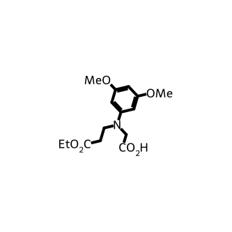 CCOC(=O)CCN(CC(=O)O)c1cc(OC)cc(OC)c1